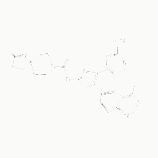 Cc1ncnc2ccc(-c3sc(NC(=O)N4CCC5(CCC(=O)N5)CC4)nc3-c3cccc(C#N)c3)cc12